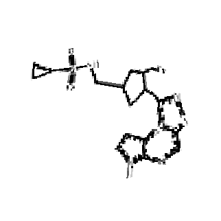 CCC1CC(CNS(=O)(=O)C2CC2)CC1c1nnc2cnc3[nH]ccc3n12